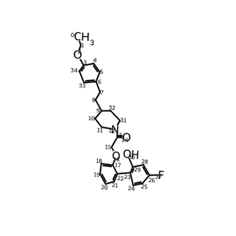 CCOc1ccc(CCC2CCN(C(=O)COc3ccccc3-c3ccc(F)cc3O)CC2)cc1